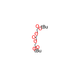 CC(C)(C)OC(=O)CCOCC(=O)COCCC(=O)OC(C)(C)C